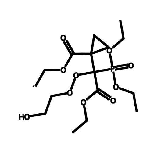 [CH2]COC(=O)C1(C(OOCCO)(C(=O)OCC)P(=O)(OCC)OCC)CC1